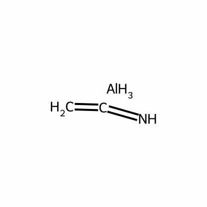 C=C=N.[AlH3]